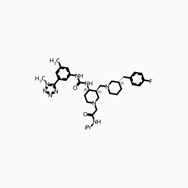 Cc1cc(NC(=O)N[C@@H]2CCN(CC(=O)NC(C)C)C[C@@H]2CN2CCC[C@@H](Cc3ccc(F)cc3)C2)cc(-c2nnnn2C)c1